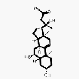 CC(C)C(=O)C[C@](C)(O)[C@H]1CC[C@H]2[C@@H]3C[C@H](O)[C@H]4C[C@@H](O)CC[C@]4(C)C3=CC[C@@]21C